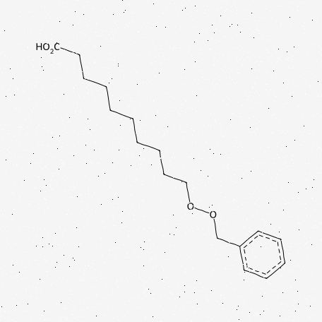 O=C(O)CCCCCCCCCOOCc1ccccc1